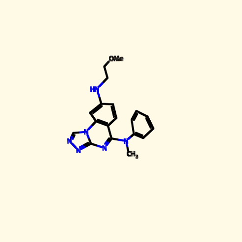 COCCNc1ccc2c(N(C)c3ccccc3)nc3nncn3c2c1